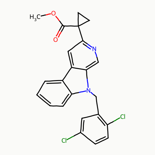 COC(=O)C1(c2cc3c4ccccc4n(Cc4cc(Cl)ccc4Cl)c3cn2)CC1